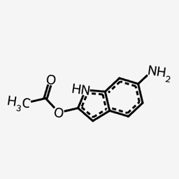 CC(=O)Oc1cc2ccc(N)cc2[nH]1